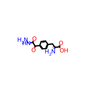 NNC(=O)C(=O)c1ccc(C[C@H](N)C(=O)O)cc1